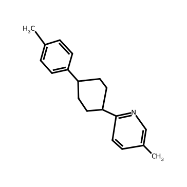 Cc1ccc(C2CCC(c3ccc(C)cn3)CC2)cc1